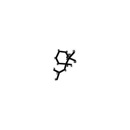 CC(C)CC1(C)CCCC[Si]1(C)C